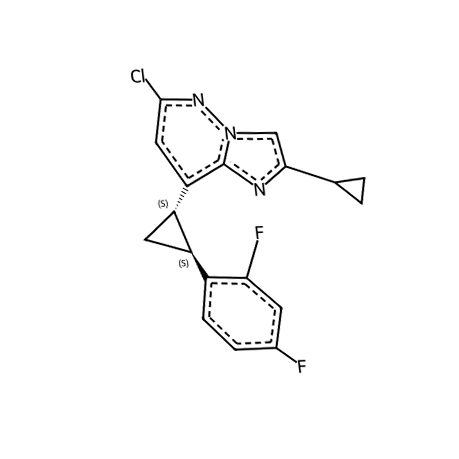 Fc1ccc([C@H]2C[C@@H]2c2cc(Cl)nn3cc(C4CC4)nc23)c(F)c1